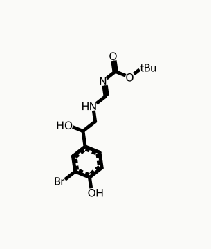 CC(C)(C)OC(=O)N=CNCC(O)c1ccc(O)c(Br)c1